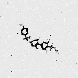 CCCc1ccc(C(F)(F)Oc2cc(F)c(-c3cc(F)c(C(F)(F)OC(F)(F)F)c(F)c3)c(F)c2)cc1